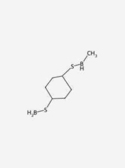 BSC1CCC(SBC)CC1